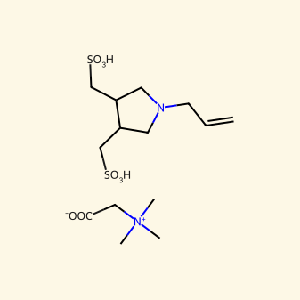 C=CCN1CC(CS(=O)(=O)O)C(CS(=O)(=O)O)C1.C[N+](C)(C)CC(=O)[O-]